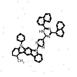 CC1CC=Cc2c1c1cc3c4ccccc4n(-c4ncc(C5N=C(c6cccc7ccccc67)N=C(c6cccc7ccccc67)N5)cn4)c3cc1n2-c1ccccc1